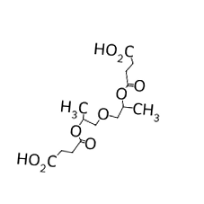 CC(COCC(C)OC(=O)CCC(=O)O)OC(=O)CCC(=O)O